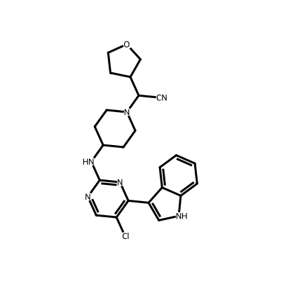 N#CC(C1CCOC1)N1CCC(Nc2ncc(Cl)c(-c3c[nH]c4ccccc34)n2)CC1